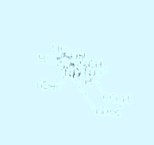 CCCCCCCCCCCCCCCCCC(=O)N(CCCCCCCCCCCC)[C@@H]1O[C@H](CO)[C@@H](O)[C@H](O)[C@H]1NC(=O)[C@H](C)NC(=O)CCCCC(=O)O